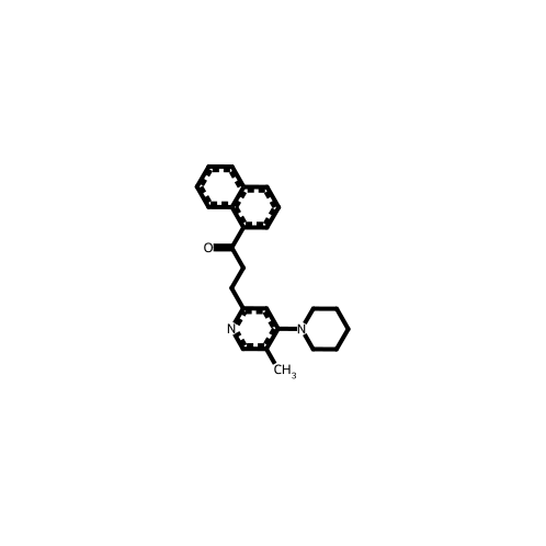 Cc1cnc(CCC(=O)c2cccc3ccccc23)cc1N1CCCCC1